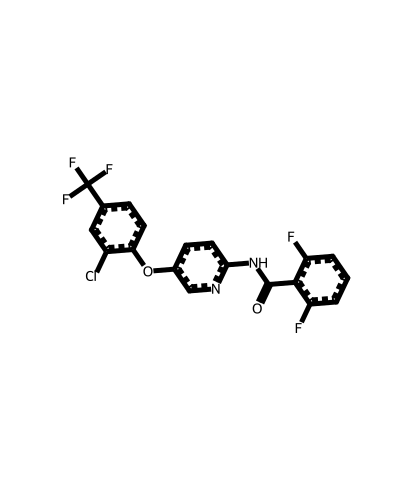 O=C(Nc1ccc(Oc2ccc(C(F)(F)F)cc2Cl)cn1)c1c(F)cccc1F